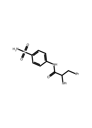 CCCC(CC(C)C)C(=O)Nc1ccc(S(N)(=O)=O)cc1